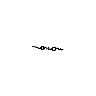 C/C=C/CCc1ccc(/C=N/N=C/c2ccc(CCCCC)cc2)cc1